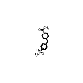 CC(=O)N1CCC(Cc2ccc(S(N)(=O)=O)cc2)CC1